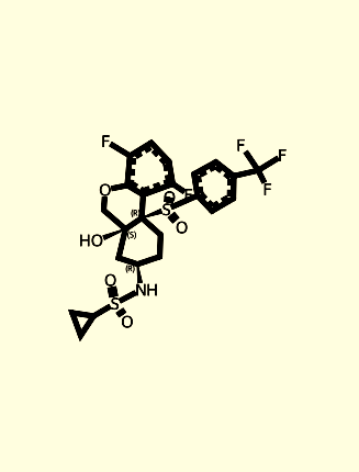 O=S(=O)(N[C@@H]1CC[C@@]2(S(=O)(=O)c3ccc(C(F)(F)F)cc3)c3c(F)ccc(F)c3OC[C@@]2(O)C1)C1CC1